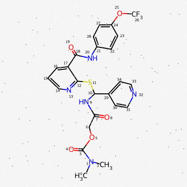 CN(C)C(=O)OCC(=O)NC(Sc1ncccc1C(=O)Nc1ccc(OC(F)(F)F)cc1)c1ccncc1